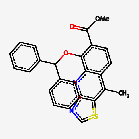 COC(=O)c1ccc2c(C)c3scnc3nc2c1OC(c1ccccc1)c1ccccc1